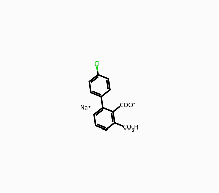 O=C(O)c1cccc(-c2ccc(Cl)cc2)c1C(=O)[O-].[Na+]